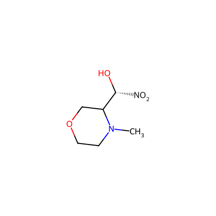 CN1CCOCC1[C@H](O)[N+](=O)[O-]